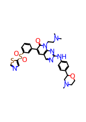 CN(C)CCn1c(=O)c(-c2cccc(S(=O)(=O)c3cncs3)c2)cc2cnc(Nc3ccc(C4CN(C)CCO4)cc3)nc21